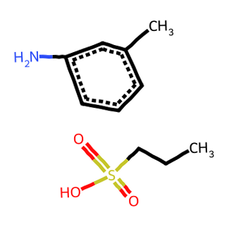 CCCS(=O)(=O)O.Cc1cccc(N)c1